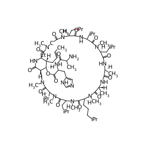 C/C=C/C[C@@H]1[C@@H](OC(=O)C(Cc2cnc[nH]2)NC(=O)C(C)N)[C@H]2C(=O)N[C@@]1(CC)C(=O)N(C)CC(=O)N(C)[C@@H](CC(C)C)C(=O)NC(C(C)C)C(=O)N(C)[C@@H](CC(C)C)C(=O)N[C@@H](C)C(=O)N[C@H](C)C(=O)N(C)[C@@H](CCCC(C)C)C(=O)N(C)[C@@H](CC(C)C)C(=O)N(C)[C@@H](C(C)C)C(=O)N2C